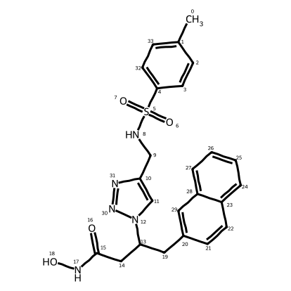 Cc1ccc(S(=O)(=O)NCc2cn(C(CC(=O)NO)Cc3ccc4ccccc4c3)nn2)cc1